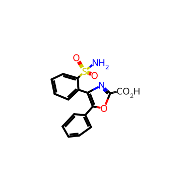 NS(=O)(=O)c1ccccc1-c1nc(C(=O)O)oc1-c1ccccc1